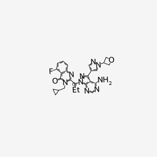 CC[C@@H](c1nc2cccc(F)c2c(=O)n1CC1CC1)n1nc(-c2cnn(C3COC3)c2)c2c(N)ncnc21